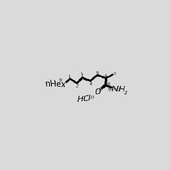 CCCCCCCCCCCC(C)C(N)=O.Cl